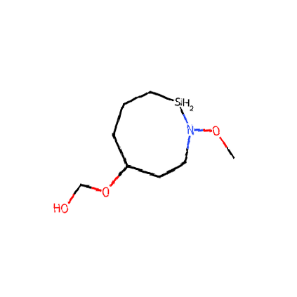 CON1CCC(OCO)CCC[SiH2]1